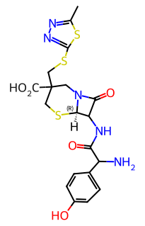 Cc1nnc(SCC2(C(=O)O)CS[C@@H]3C(NC(=O)C(N)c4ccc(O)cc4)C(=O)N3C2)s1